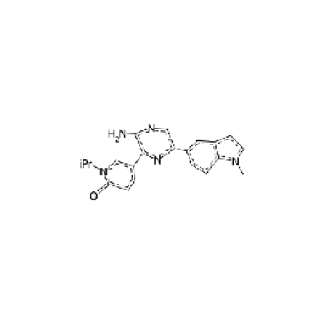 CC(C)n1cc(-c2nc(-c3ccc4c(ccn4C)c3)cnc2N)ccc1=O